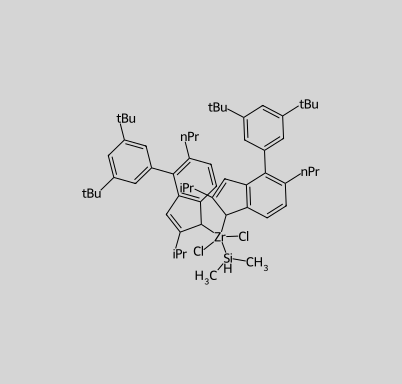 CCCc1ccc2c(c1-c1cc(C(C)(C)C)cc(C(C)(C)C)c1)C=C(C(C)C)[CH]2[Zr]([Cl])([Cl])([CH]1C(C(C)C)=Cc2c1ccc(CCC)c2-c1cc(C(C)(C)C)cc(C(C)(C)C)c1)[SiH](C)C